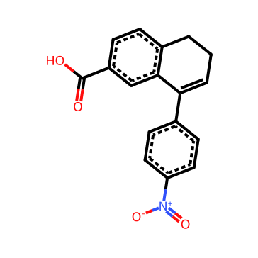 O=C(O)c1ccc2c(c1)C(c1ccc([N+](=O)[O-])cc1)=CCC2